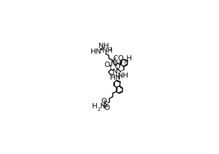 N=C(N)NCCC[C@H](NC(=O)[C@@H]1CCCN1C(=O)[C@@H](Cc1ccccc1)NNc1ccc2c(CCCCS(N)(=O)=O)cccc2c1)C(=O)O